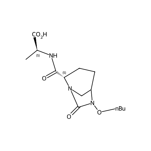 CCCCON1C(=O)N2CC1CC[C@H]2C(=O)N[C@@H](C)C(=O)O